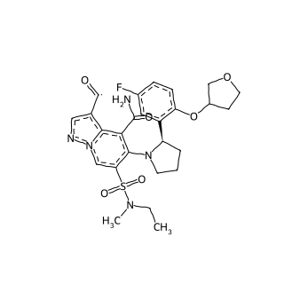 CCN(C)S(=O)(=O)c1cn2ncc([C]=O)c2c(C(N)=O)c1N1CCC[C@@H]1c1cc(F)ccc1OC1CCOC1